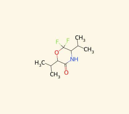 CC(C)C1OC(F)(F)C(C(C)C)NC1=O